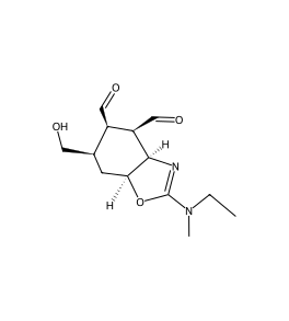 CCN(C)C1=N[C@@H]2[C@H](C=O)[C@H](C=O)[C@H](CO)C[C@@H]2O1